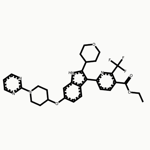 CCOC(=O)c1ccc(-c2c(C3CCOCC3)[nH]c3cc(OC4CCN(c5ncccn5)CC4)ccc23)nc1C(F)(F)F